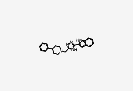 c1ccc(C2CCN(Cc3nnc(-c4cc5ccccc5[nH]4)[nH]3)CC2)cc1